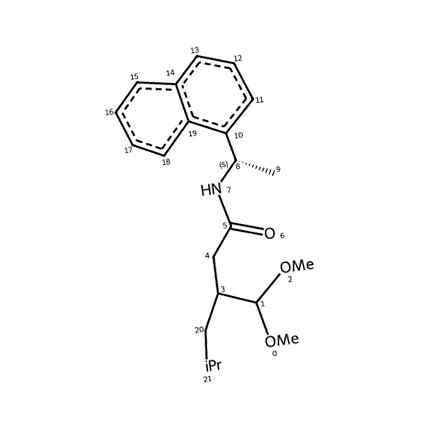 COC(OC)C(CC(=O)N[C@@H](C)c1cccc2ccccc12)CC(C)C